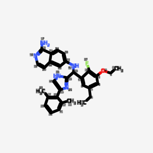 CCOc1cc(CC)cc(C(Nc2ccc3c(N)nccc3c2)c2nc(-c3c(C)cccc3C)c[nH]2)c1F